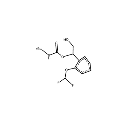 CC(C)(C)NC(=O)OC(CO)c1ccccc1OC(F)F